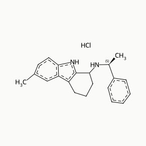 Cc1ccc2[nH]c3c(c2c1)CCCC3N[C@@H](C)c1ccccc1.Cl